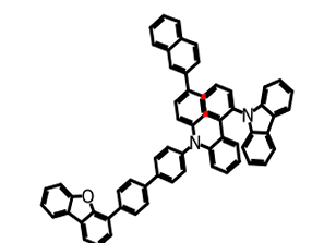 c1ccc(N(c2ccc(-c3ccc(-c4cccc5c4oc4ccccc45)cc3)cc2)c2ccc(-c3ccc4ccccc4c3)cc2)c(-c2ccccc2-n2c3ccccc3c3ccccc32)c1